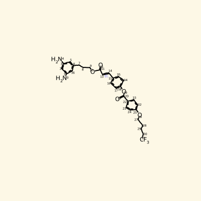 Nc1cc(N)cc(CCCOC(=O)/C=C/c2ccc(OC(=O)c3ccc(OCCCCC(F)(F)F)cc3)cc2)c1